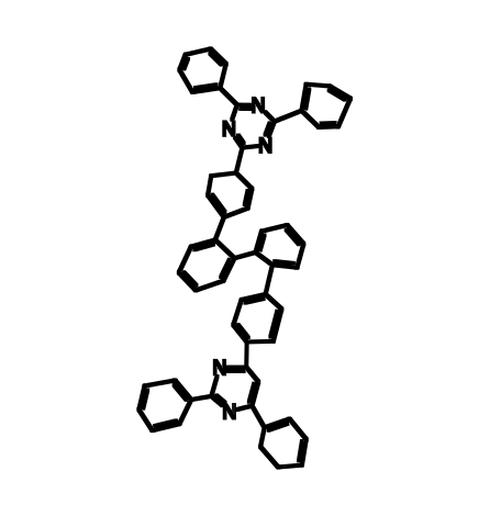 C1=CCCC(c2cc(-c3ccc(-c4ccccc4-c4ccccc4C4=CCC(c5nc(-c6ccccc6)nc(-c6ccccc6)n5)C=C4)cc3)nc(-c3ccccc3)n2)=C1